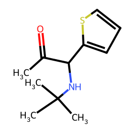 CC(=O)C(NC(C)(C)C)c1cccs1